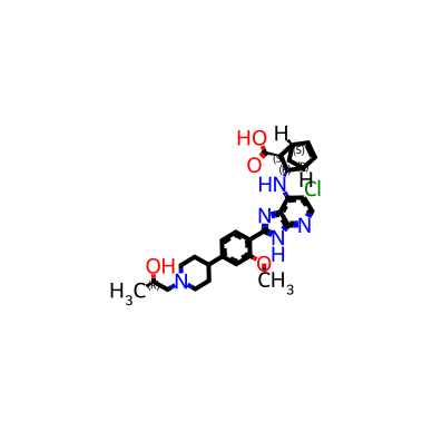 COc1cc(C2CCN(C[C@@H](C)O)CC2)ccc1-c1nc2c(N[C@H]3[C@@H](C(=O)O)[C@@H]4C=C[C@H]3C4)c(Cl)cnc2[nH]1